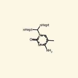 CCCCCCCC(CCCCCCC)n1cc(C)c(N)nc1=O